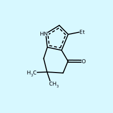 CCc1c[nH]c2c1C(=O)CC(C)(C)C2